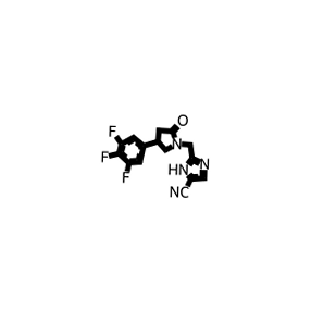 N#Cc1cnc(CN2CC(c3cc(F)c(F)c(F)c3)CC2=O)[nH]1